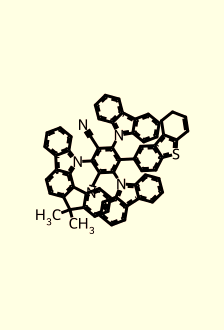 CC1(C)c2ccccc2-c2c1ccc1c3ccccc3n(-c3c(C#N)c(-n4c5ccccc5c5ccccc54)c(-c4ccc5sc6c(c5c4)CCC=C6)c(-n4c5ccccc5c5ccccc54)c3C#N)c21